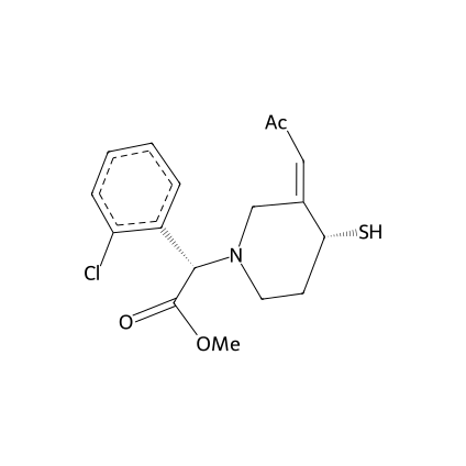 COC(=O)[C@H](c1ccccc1Cl)N1CC[C@@H](S)/C(=C/C(C)=O)C1